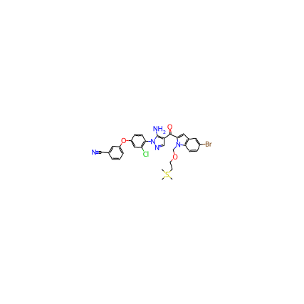 CS(C)(C)CCOCn1c(C(=O)c2cnn(-c3ccc(Oc4cccc(C#N)c4)cc3Cl)c2N)cc2cc(Br)ccc21